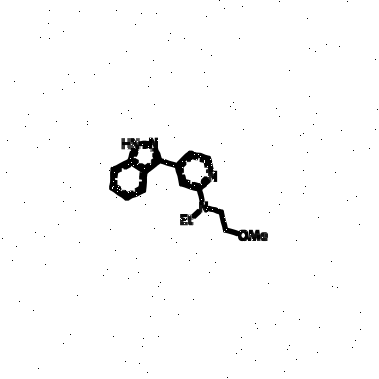 CCN(CCOC)c1cc(-c2n[nH]c3ccccc23)ccn1